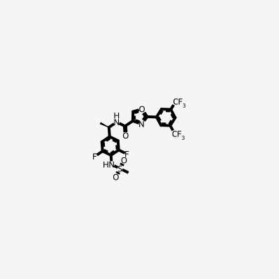 C[C@@H](NC(=O)c1coc(-c2cc(C(F)(F)F)cc(C(F)(F)F)c2)n1)c1cc(F)c(NS(C)(=O)=O)c(F)c1